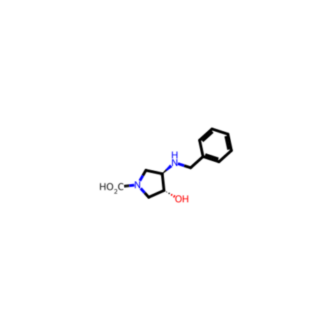 O=C(O)N1C[C@@H](O)[C@H](NCc2ccccc2)C1